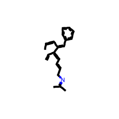 C=CC(=C\C=C\CN=C(C)C)/C(/C=C\C)=C/c1ccccc1